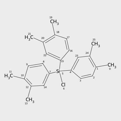 Cc1ccc([Si](Cl)(c2ccc(C)c(C)c2)c2ccc(C)c(C)c2)cc1C